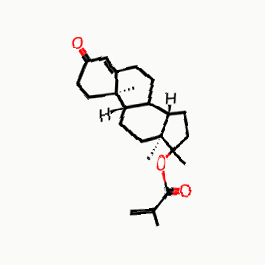 C=C(C)C(=O)OC1(C)CC[C@H]2C3CCC4=CC(=O)CC[C@]4(C)[C@H]3CC[C@@]21C